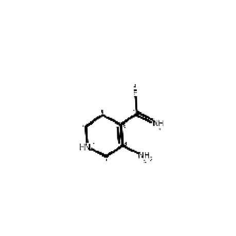 N=C(F)C1=C(N)CNCC1